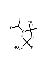 O=C(O)C(F)(F)OC(F)(OC(F)F)C(F)(F)F